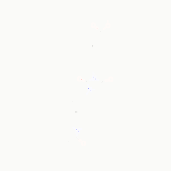 COC(=O)CC[C@H]1CC[C@H](N2C(=O)CN(c3ccc4c(c3)CCN(C(=O)C(F)(F)F)CC4)C2=O)CC1